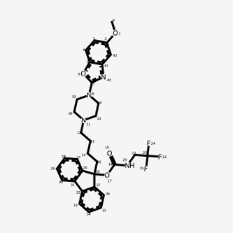 COc1ccc2oc(N3CCN(CCCCC4(OC(=O)NCC(F)(F)F)c5ccccc5-c5ccccc54)CC3)nc2c1